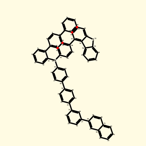 c1ccc(-c2ccc(-c3ccccc3N(c3ccc(-c4ccc(-c5cccc(-c6ccc7ccccc7c6)c5)cc4)cc3)c3ccc(-c4cccc5sc6ccccc6c45)cc3)cc2)cc1